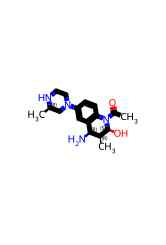 CC(=O)N1c2ccc(N3CCN[C@H](C)C3)cc2[C@H](N)[C@@H](C)[C@@H]1O